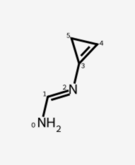 N/C=N/C1=CC1